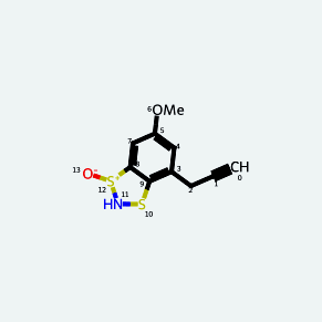 C#CCc1cc(OC)cc2c1SN[S+]2[O-]